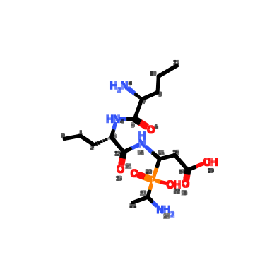 CCC[C@H](NC(=O)[C@@H](N)CCC)C(=O)NC(CC(=O)O)P(=O)(O)C(C)N